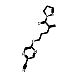 C=C(CCCOc1cnc(C#N)cn1)C(=O)N1CCC=N1